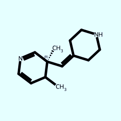 CC1C=CN=C[C@@]1(C)C=C1CCNCC1